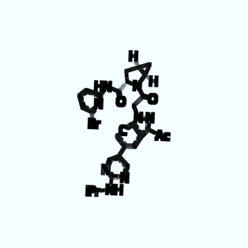 CC(=O)c1nn(CC(=O)N2[C@@H]3C[C@@H]3C[C@H]2C(=O)Nc2cccc(Br)n2)c2ccc(-c3cnc(NC(C)C)nc3)cc12